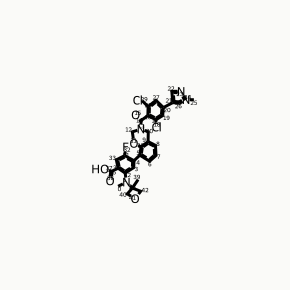 CN(c1cc(-c2cccc3c2OCN(C(=O)c2c(Cl)cc(-c4cnn(C)c4)cc2Cl)C3)c(F)cc1C(=O)O)C1(C)COC1